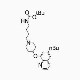 CCCCc1cc(OC2CCN(CCCCNC(=O)OC(C)(C)C)CC2)c2ncccc2c1